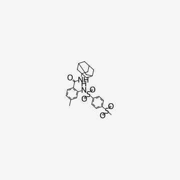 Cc1ccc(C(=O)NC23CC4CC(CC(C4)C2)C3)c(NS(=O)(=O)c2ccc(S(C)(=O)=O)cc2)c1